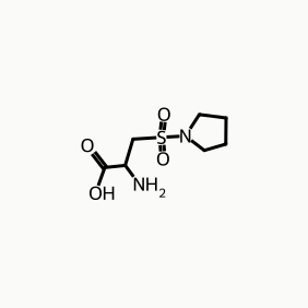 NC(CS(=O)(=O)N1CCCC1)C(=O)O